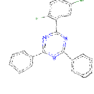 Fc1ccc(Br)cc1-c1nc(-c2ccccc2)nc(-c2ccccc2)n1